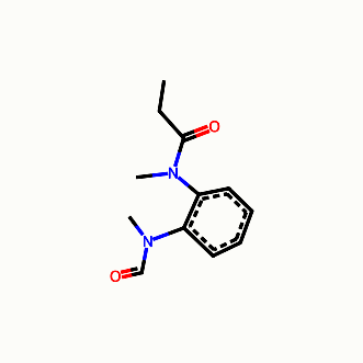 CCC(=O)N(C)c1ccccc1N(C)C=O